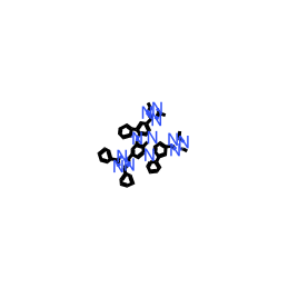 Cc1nc(C)nc(-c2ccc3c(c2)c2ccccc2n3-c2cc(-c3nc(-c4ccccc4)nc(-c4ccccc4)n3)cc(-n3c4ccccc4c4cc(-c5nc(C)nc(C)n5)ccc43)c2C#N)n1